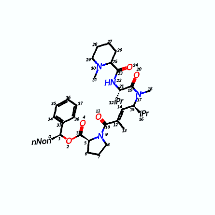 CCCCCCCCC[C@H](OC(=O)[C@@H]1CCCN1C(=O)/C(C)=C/[C@H](C(C)C)N(C)C(=O)[C@@H](NC(=O)C1CCCCN1C)C(C)C)c1ccccc1